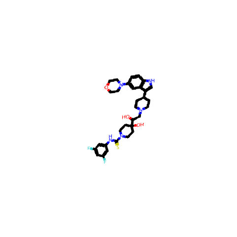 OC(CN1CCC(c2c[nH]c3ccc(N4CCOCC4)cc23)CC1)C1(O)CCN(C(=S)Nc2cc(F)cc(F)c2)CC1